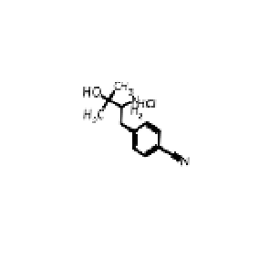 CC(C)(O)C(N)Cc1ccc(C#N)cc1.Cl